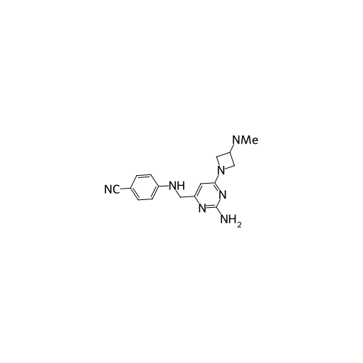 CNC1CN(c2cc(CNc3ccc(C#N)cc3)nc(N)n2)C1